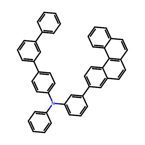 c1ccc(-c2cccc(-c3ccc(N(c4ccccc4)c4cccc(-c5ccc6c(ccc7ccc8ccccc8c76)c5)c4)cc3)c2)cc1